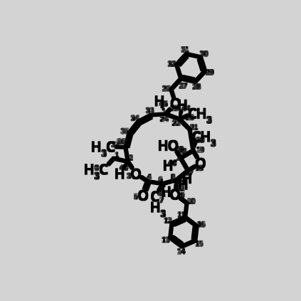 CC[C@H]1OC(=O)[C@H](C)[C@@H](OCc2ccccc2)[C@@H]2O[C@@](C)(C[C@@H](C)[C@H](OCc3ccccc3)C=C=C=C1C)[C@@H]2O